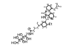 CCc1ccc(C(C)CCCC(=O)NC[C@H](O)[C@@H](O)[C@H](O)[C@H](O)CO)cc1CNC1(c2cnccc2-c2ccccc2CC2CC2)CC1